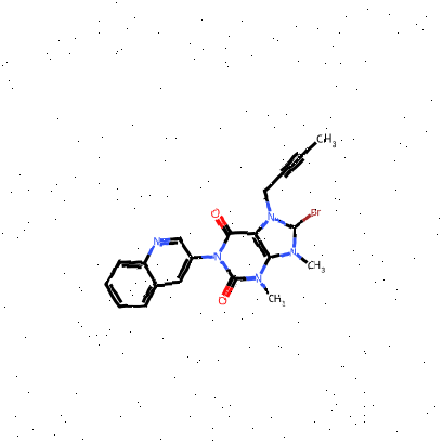 CC#CCN1c2c(n(C)c(=O)n(-c3cnc4ccccc4c3)c2=O)N(C)C1Br